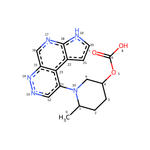 CC1CCC(OC(=O)O)CN1c1cnnc2cnc3[nH]ccc3c12